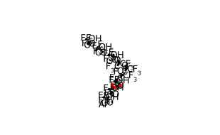 O=S(=O)(O)C(F)(F)F.O=S(=O)(O)C(F)(F)F.O=S(=O)(O)C(F)(F)F.O=S(=O)(O)C(F)(F)F.O=S(=O)(O)C(F)(F)F.O=S(=O)(O)C(F)(F)F.[Al+3].[O-]C(C(F)(F)F)C(F)(F)F.[O-]C(C(F)(F)F)C(F)(F)F.[O-]C(C(F)(F)F)C(F)(F)F